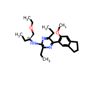 CCOC[C@H](CC)Nc1nc(CC)c(-c2cc3c(cc2OC)CCC3)nc1CC